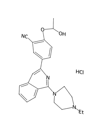 CCN1CCN(c2nc(-c3ccc(OC(C)O)c(C#N)c3)cc3ccccc23)CC1.Cl